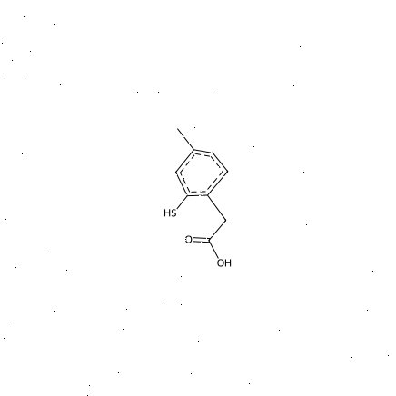 Cc1ccc(CC(=O)O)c(S)c1